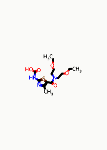 CCOCCN(CCOCC)C(=O)c1sc(NC(=O)O)nc1C